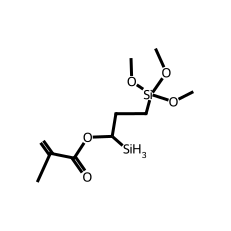 C=C(C)C(=O)OC([SiH3])CC[Si](OC)(OC)OC